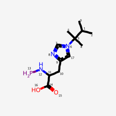 CC(C)C(C)(C)n1cnc(CC(NP)C(=O)O)c1